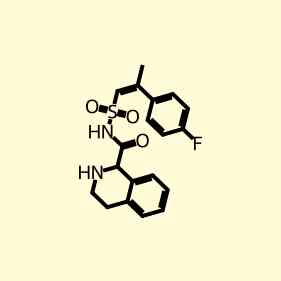 CC(=CS(=O)(=O)NC(=O)C1NCCc2ccccc21)c1ccc(F)cc1